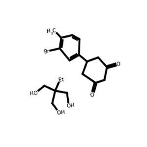 CCC(CO)(CO)CO.Cc1ccc(C2CC(=O)CC(=O)C2)cc1Br